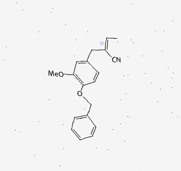 C/C=C(\C#N)Cc1ccc(OCc2ccccc2)c(OC)c1